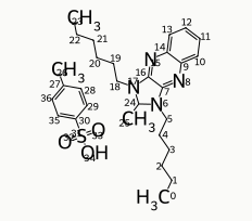 CCCCCCN1c2nc3ccccc3nc2N(CCCCCC)C1C.Cc1ccc(S(=O)(=O)O)cc1